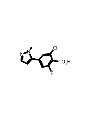 Cn1nccc1-c1cc(F)c(C(=O)O)c(Cl)c1